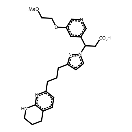 COCCOc1cncc(C(CC(=O)O)n2ccc(CCCc3ccc4c(n3)NCCC4)n2)c1